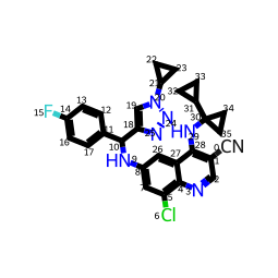 N#Cc1cnc2c(Cl)cc(NC(c3ccc(F)cc3)c3cn(C4CC4)nn3)cc2c1NC1(C2CC2)CC1